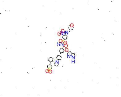 O=C(NS(=O)(=O)c1ccc(NCC2CCOCC2)c([N+](=O)[O-])c1)c1ccc(-c2ccc(N3CCC[C@@H]3c3ccccc3C3CCS(=O)(=O)CC3)cc2)cc1Oc1cnc2[nH]ccc2c1